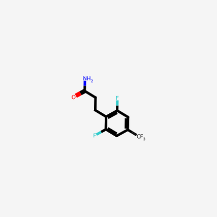 NC(=O)C[CH]c1c(F)cc(C(F)(F)F)cc1F